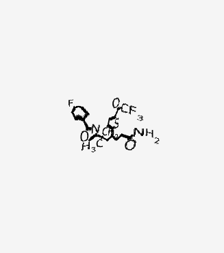 CC(C)(CC(CCC(N)=O)c1ccc(C(=O)C(F)(F)F)s1)c1coc(-c2ccc(F)cc2)n1